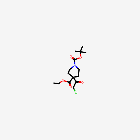 CCOC(=O)C1(C(=O)CCl)CCN(C(=O)OC(C)(C)C)CC1